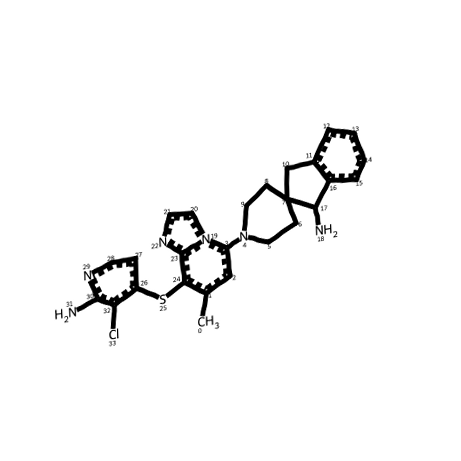 Cc1cc(N2CCC3(CC2)Cc2ccccc2C3N)n2ccnc2c1Sc1ccnc(N)c1Cl